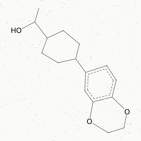 CC(O)C1CCC(c2ccc3c(c2)OCCO3)CC1